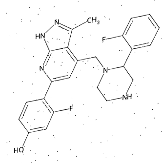 Cc1n[nH]c2nc(-c3ccc(O)cc3F)cc(CN3CCNCC3c3ccccc3F)c12